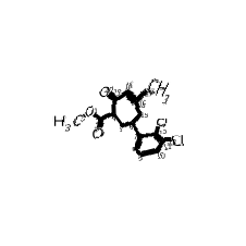 COC(=O)C1CC(c2cccc(Cl)c2Cl)CC(C)=CC1=O